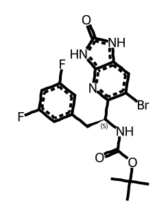 CC(C)(C)OC(=O)N[C@@H](Cc1cc(F)cc(F)c1)c1nc2[nH]c(=O)[nH]c2cc1Br